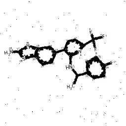 CC(Nc1nc(C(F)(F)F)ccc1-c1[c]c2nc(N)sc2cc1)c1ccc(F)cc1